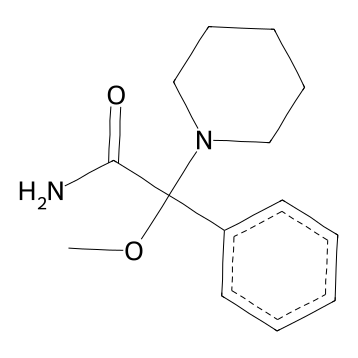 COC(C(N)=O)(c1ccccc1)N1CCCCC1